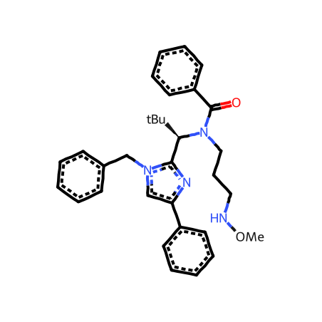 CONCCCN(C(=O)c1ccccc1)[C@@H](c1nc(-c2ccccc2)cn1Cc1ccccc1)C(C)(C)C